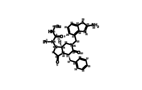 CCCCNC(=O)N(C(C)C)N1CC(=O)N2[C@@H](Cc3ccccc3)C(=O)N(Cc3cccc4sc(N)nc34)C[C@@H]21